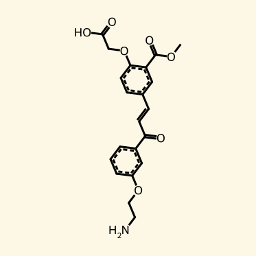 COC(=O)c1cc(C=CC(=O)c2cccc(OCCN)c2)ccc1OCC(=O)O